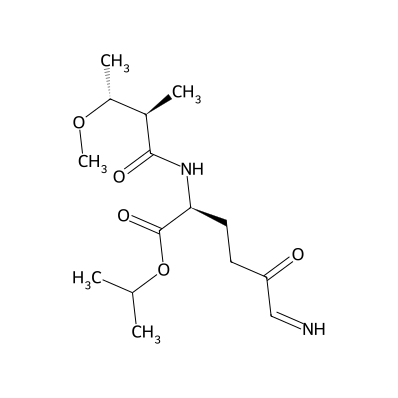 CO[C@H](C)[C@@H](C)C(=O)N[C@@H](CCC(=O)C=N)C(=O)OC(C)C